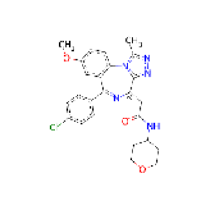 COc1ccc2c(c1)C(c1ccc(Cl)cc1)=N[C@@H](CC(=O)NC1CCOCC1)c1nnc(C)n1-2